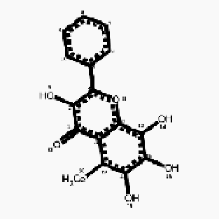 O=c1c(O)c(-c2ccccc2)oc2c(O)c(O)c(O)[c]([GeH3])c12